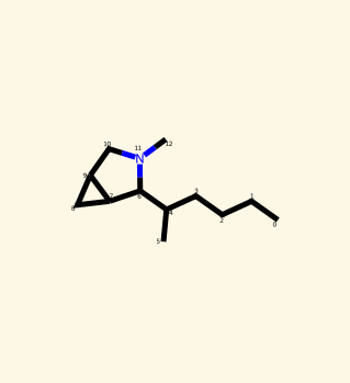 CCCCC(C)C1C2CC2CN1C